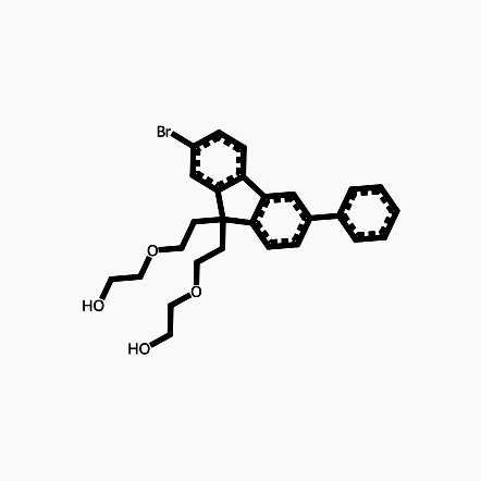 OCCOCCC1(CCOCCO)c2ccc(-c3ccccc3)cc2-c2ccc(Br)cc21